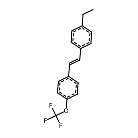 CCc1ccc(/C=C/c2ccc(OC(F)(F)F)cc2)cc1